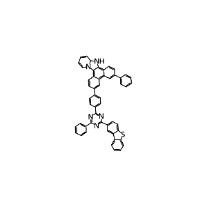 C1=CC2Nc3c(c4ccc(-c5ccc(-c6nc(-c7ccccc7)nc(-c7ccc8sc9ccccc9c8c7)n6)cc5)cc4c4cc(-c5ccccc5)ccc34)N2C=C1